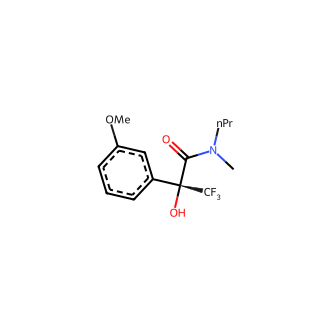 CCCN(C)C(=O)[C@](O)(c1cccc(OC)c1)C(F)(F)F